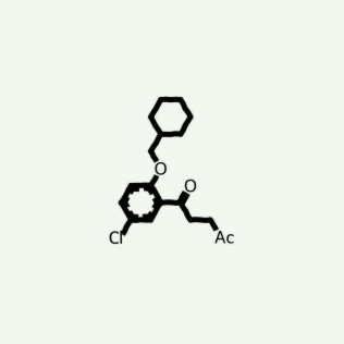 CC(=O)CCC(=O)c1cc(Cl)ccc1OCC1CCCCC1